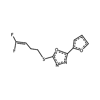 FC(F)=CCCSc1nnc(-c2ccco2)o1